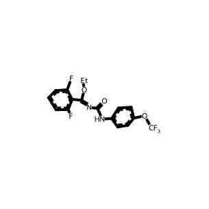 CCOC(=NC(=O)Nc1ccc(OC(F)(F)F)cc1)c1c(F)cccc1F